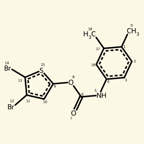 Cc1ccc(NC(=O)Oc2cc(Br)c(Br)s2)cc1C